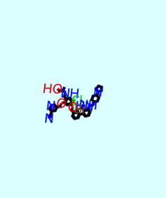 CC(CO)NCc1cc(Cl)c(OCc2cccc(-c3cccc(NCC4CCC(N5CCCC5)CC4)c3C=N)c2Br)cc1OCc1cncc(C#N)c1